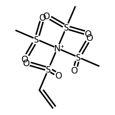 C=CS(=O)(=O)[N+](S(C)(=O)=O)(S(C)(=O)=O)S(C)(=O)=O